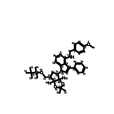 COc1ccc(CNc2ncnc3c2c(-c2ccccc2)cn3[C@@H]2C[C@H](CO[Si](C)(C)C(C)(C)C)[C@H]3OC(C)(C)O[C@H]32)cc1